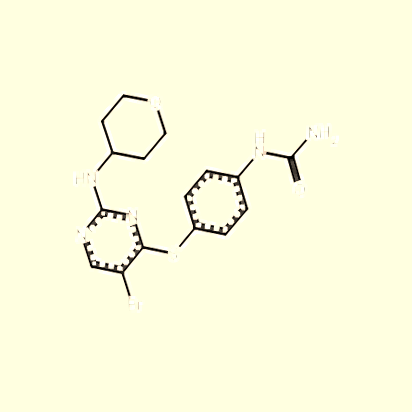 NC(=O)Nc1ccc(Sc2nc(NC3CCOCC3)ncc2Br)cc1